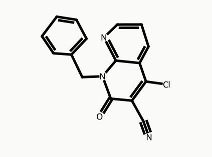 N#Cc1c(Cl)c2cccnc2n(Cc2ccccc2)c1=O